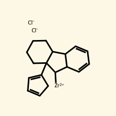 [Cl-].[Cl-].[Zr+2][CH]1C2C=CC=CC2C2CCCCC12C1=CC=CC1